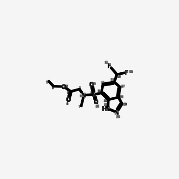 CCOC(=O)CN(C)S(=O)(=O)c1cc(C(F)F)cc2cn[nH]c12